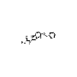 O=C(O)Nc1cn2nc(OCc3ccccc3)ccc2n1